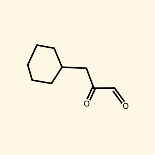 O=CC(=O)CC1CCCCC1